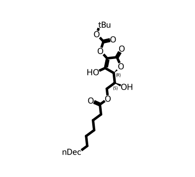 CCCCCCCCCCCCCCCC(=O)OC[C@H](O)[C@H]1OC(=O)C(OC(=O)OC(C)(C)C)=C1O